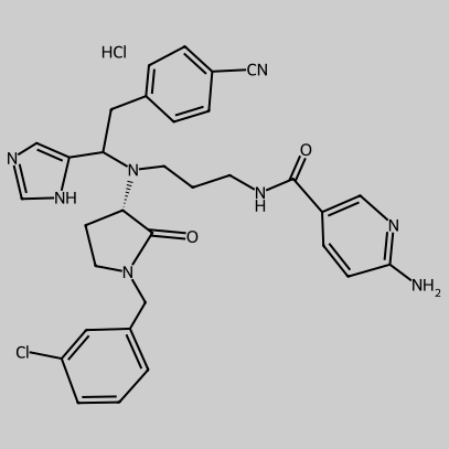 Cl.N#Cc1ccc(CC(c2cnc[nH]2)N(CCCNC(=O)c2ccc(N)nc2)[C@H]2CCN(Cc3cccc(Cl)c3)C2=O)cc1